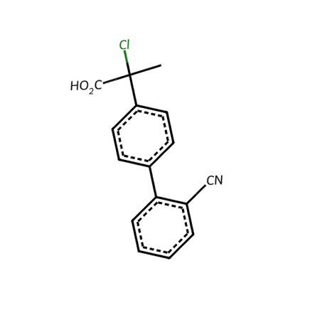 CC(Cl)(C(=O)O)c1ccc(-c2ccccc2C#N)cc1